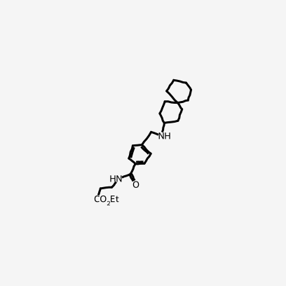 CCOC(=O)CCNC(=O)c1ccc(CNC2CCC3(CCCCC3)CC2)cc1